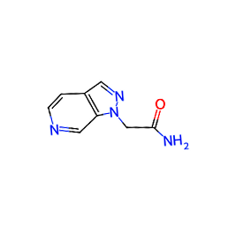 NC(=O)Cn1ncc2ccncc21